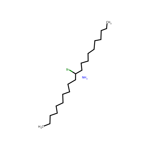 CCCCCCCCCCC(Br)CCCCCCCCCC.N